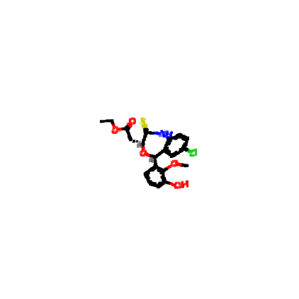 CCOC(=O)C[C@H]1O[C@H](c2cccc(O)c2OC)c2cc(Cl)ccc2NC1=S